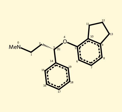 CNCC[C@H](Oc1cccc2c1CCC2)c1ccccc1